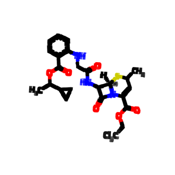 CC1C=C(C(=O)OCC(Cl)(Cl)Cl)N2C(=O)C(NC(=O)CNc3ccccc3C(=O)OC(C)C3CC3)[C@H]2S1